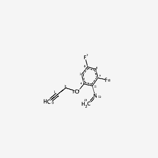 C#CCOc1cc(F)cc(F)c1N=C